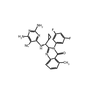 Cc1cccc2nc([C@@H](Nc3nc(N)nc(N)c3C#N)C3CC3)n(-c3cc(F)cc(F)c3)c(=O)c12